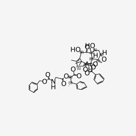 CC(=O)O[C@@]12CO[C@@H]1C[C@H](O)[C@@]1(C)C(=O)[C@H](O)C3=C(C)[C@@H](OC(=O)[C@H](OC(=O)CNC(=O)OCc4ccccc4)[C@@H](C)c4ccccc4)C[C@](O)([C@@H](OC(=O)c4ccccc4)[C@H]21)C3(C)C